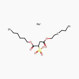 CC(C)CCCCCOC(=O)CC(C(=O)OCCCCCC(C)C)S(=O)(=O)[O-].[Na+]